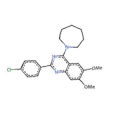 COc1cc2nc(-c3ccc(Cl)cc3)nc(N3CCCCCC3)c2cc1OC